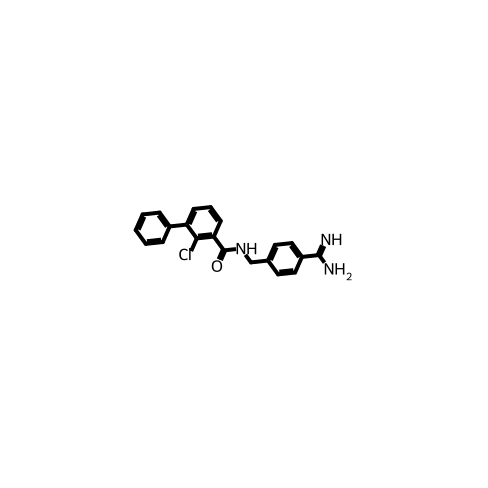 N=C(N)c1ccc(CNC(=O)c2cccc(-c3ccccc3)c2Cl)cc1